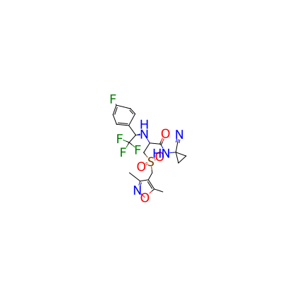 Cc1noc(C)c1CS(=O)(=O)CC(N[C@H](c1ccc(F)cc1)C(F)(F)F)C(=O)NC1(C#N)CC1